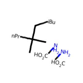 CCCC(C)(C)CC(C)CC.NC(=O)O.NC(=O)O